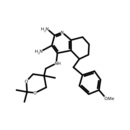 COc1ccc(CC2CCCc3nc(N)c(N)c(NCC4(C)COC(C)(C)OC4)c32)cc1